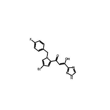 CCc1cc(C(=O)C=C(O)c2nc[nH]n2)n(Cc2ccc(F)cc2)c1